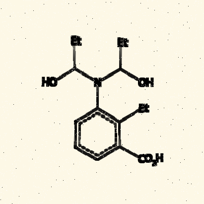 CCc1c(C(=O)O)cccc1N(C(O)CC)C(O)CC